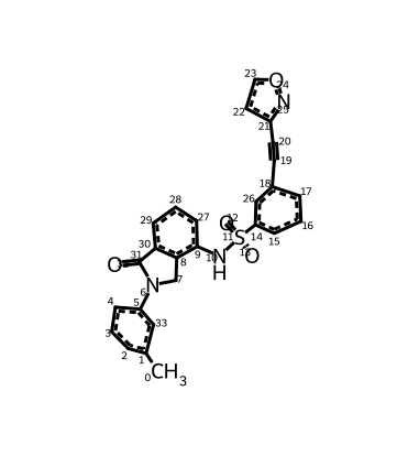 Cc1cccc(N2Cc3c(NS(=O)(=O)c4cccc(C#Cc5ccon5)c4)cccc3C2=O)c1